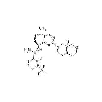 Cc1nnc(N[C@H](N)c2cccc(C(F)(F)F)c2F)c2cc(N3CCN4CCOC[C@@H]4C3)ncc12